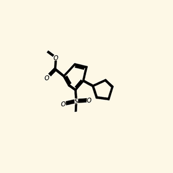 COC(=O)c1ccc(C2CCCC2)c(S(C)(=O)=O)c1